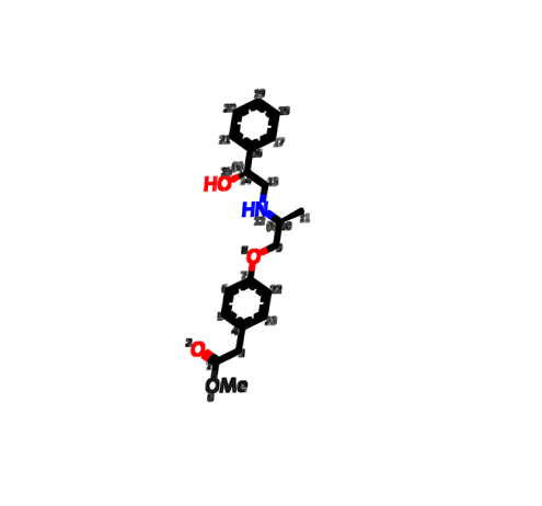 COC(=O)Cc1ccc(OC[C@H](C)NC[C@@H](O)c2ccccc2)cc1